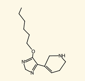 CCCCCCOC1=NCN=C1C1=CCCNC1